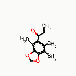 Bc1c(B)c(C(=O)CC)c(B)c2c1OCO2